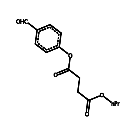 CCCOC(=O)CCC(=O)Oc1ccc(C=O)cc1